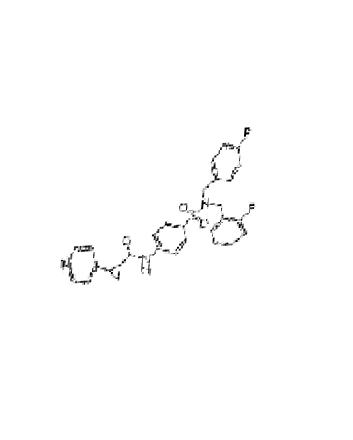 O=C(Nc1ccc(S(=O)(=O)N(Cc2ccc(F)cc2)Cc2ccccc2F)cc1)C1CC1c1ccncc1